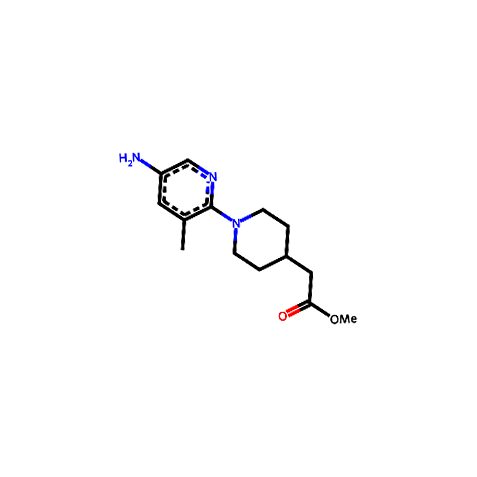 COC(=O)CC1CCN(c2ncc(N)cc2C)CC1